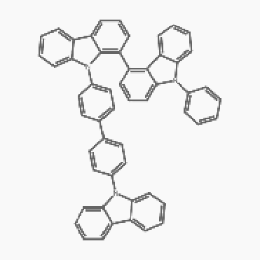 c1ccc(-n2c3ccccc3c3c(-c4cccc5c6ccccc6n(-c6ccc(-c7ccc(-n8c9ccccc9c9ccccc98)cc7)cc6)c45)cccc32)cc1